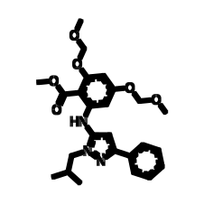 COCOc1cc(Nc2cc(-c3ccccc3)nn2CC(C)C)c(C(=O)OC)c(OCOC)c1